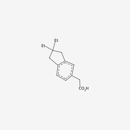 CCC1(CC)Cc2ccc(CC(=O)O)cc2C1